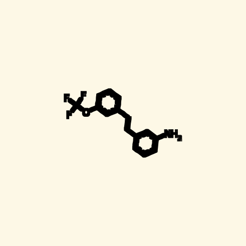 Nc1cccc(C=Cc2cccc(OC(F)(F)F)c2)c1